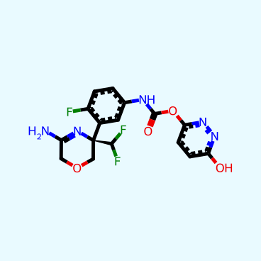 NC1=N[C@@](c2cc(NC(=O)Oc3ccc(O)nn3)ccc2F)(C(F)F)COC1